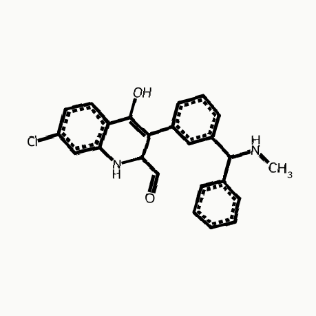 CNC(c1ccccc1)c1cccc(C2=C(O)c3ccc(Cl)cc3NC2C=O)c1